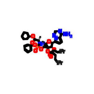 CC(C)CCC(=O)O[C@H]1[C@H](c2ccc3c(N)ncnn23)O[C@]2(C)C(O[P@@](=O)(N[C@@H](C)C(=O)OC3CCCCC3)Oc3ccccc3)[C@]12OC(=O)CCC(C)C